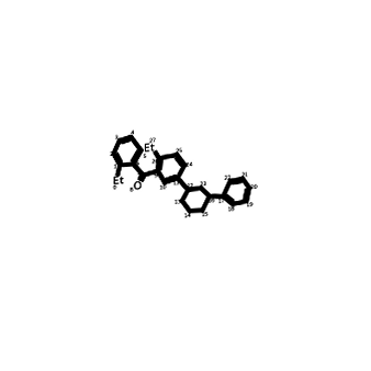 CCc1ccccc1C(=O)c1cc(C2CCCC(c3ccccc3)C2)ccc1CC